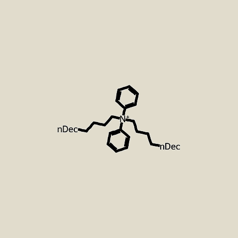 CCCCCCCCCCCCCC[N+](CCCCCCCCCCCCCC)(c1ccccc1)c1ccccc1